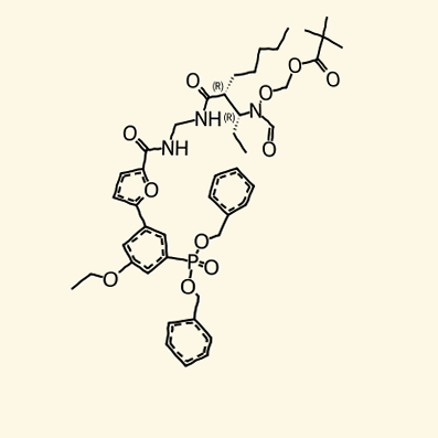 CCCCC[C@@H](C(=O)NCNC(=O)c1ccc(-c2cc(OCC)cc(P(=O)(OCc3ccccc3)OCc3ccccc3)c2)o1)[C@@H](CC)N(C=O)OCOC(=O)C(C)(C)C